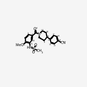 COc1ccc(C(=O)N2CCC(c3ccc(C#N)cc3)CC2)cc1NS(C)(=O)=O